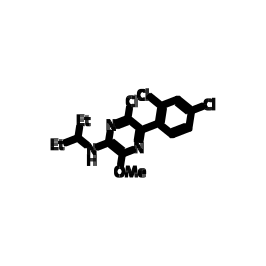 CCC(CC)Nc1nc(Cl)c(-c2ccc(Cl)cc2Cl)nc1OC